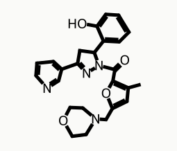 Cc1cc(CN2CCOCC2)oc1C(=O)N1N=C(c2cccnc2)CC1c1ccccc1O